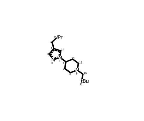 CC(C)Cc1cnn(C2CCN(CC(C)(C)C)CC2)c1